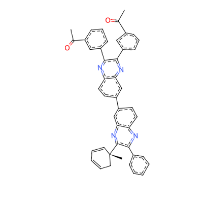 CC(=O)c1cccc(-c2nc3ccc(-c4ccc5nc(-c6ccccc6)c([C@@]6(C)C=CC=CC6)nc5c4)cc3nc2-c2cccc(C(C)=O)c2)c1